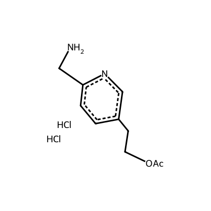 CC(=O)OCCc1ccc(CN)nc1.Cl.Cl